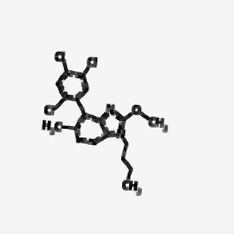 CCCCn1c(OC)nc2c(-c3cc(Cl)c(Cl)cc3Cl)c(C)ccc21